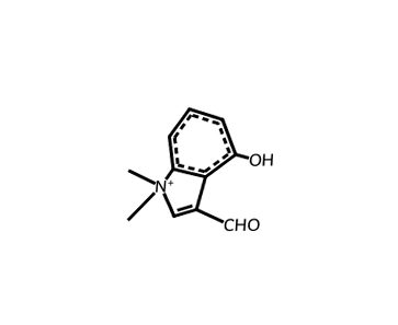 C[N+]1(C)C=C(C=O)c2c(O)cccc21